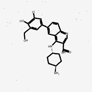 CCCC(=O)c1cnc2ccc(-c3cc(Cl)c(O)c(CO)c3)cc2c1N[C@H]1CC[C@H](N)CC1